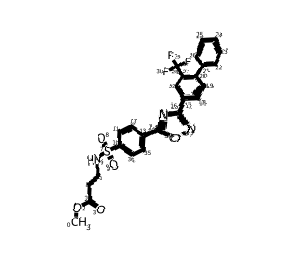 COC(=O)CCNS(=O)(=O)c1ccc(-c2nc(-c3ccc(-c4ccccc4)c(C(F)(F)F)c3)no2)cc1